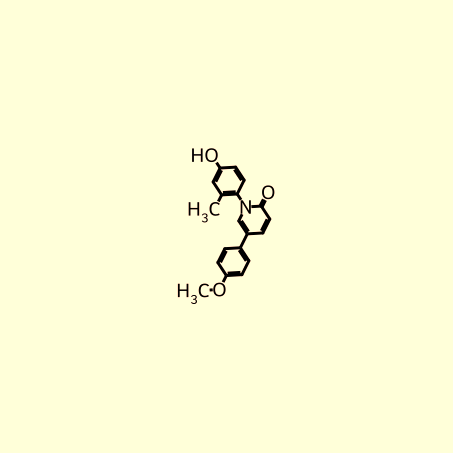 COc1ccc(-c2ccc(=O)n(-c3ccc(O)cc3C)c2)cc1